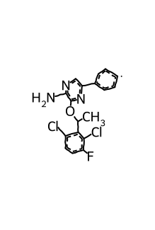 CC(Oc1nc(-c2cc[c]cc2)cnc1N)c1c(Cl)ccc(F)c1Cl